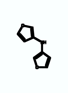 c1cc(Nc2ccoc2)co1